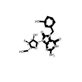 Nc1nc2c(c(=O)[nH]1)n(Cc1cccc(O)c1)c(=O)n2[C@@H]1O[C@H](CO)[C@@H](F)[C@H]1O